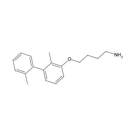 Cc1ccccc1-c1cccc(OCCCCN)c1C